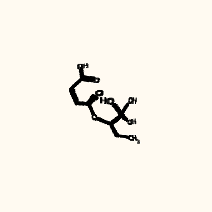 CCC(OC(=O)/C=C\C(=O)O)C(O)(O)O